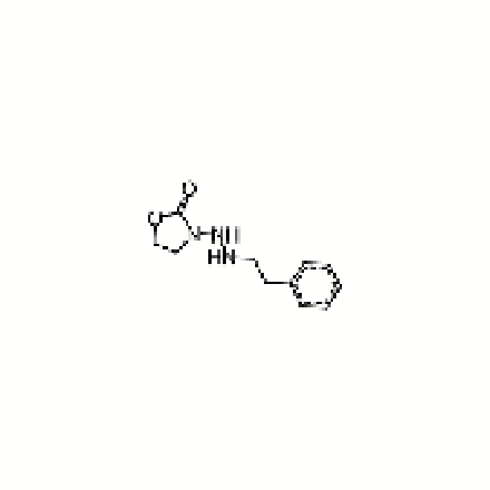 O=C1OCCN1NNCCc1ccccc1